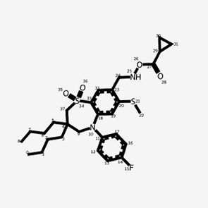 CCCCC1(CCCC)CN(c2ccc(F)cc2)c2cc(SC)c(CNOC(=O)C3CC3)cc2S(=O)(=O)C1